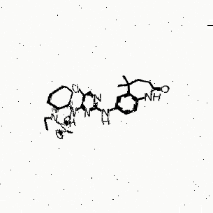 CCN([C@@H]1CCCC[C@H]1Nc1nc(Nc2ccc3c(c2)C(C)(C)CCC(=O)N3)ncc1Cl)S(C)(=O)=O